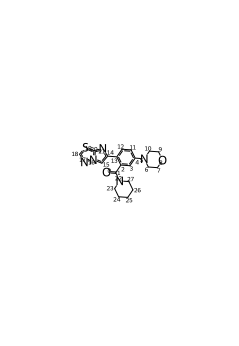 O=C(c1cc(N2CCOCC2)ccc1-c1cn2ncsc2n1)N1CCCCC1